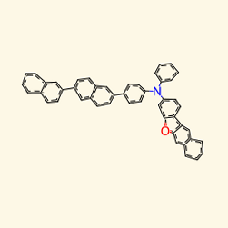 c1ccc(N(c2ccc(-c3ccc4cc(-c5ccc6ccccc6c5)ccc4c3)cc2)c2ccc3c(c2)oc2cc4ccccc4cc23)cc1